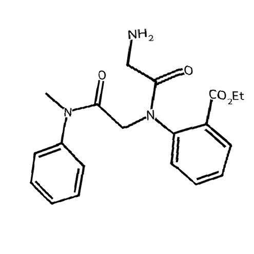 CCOC(=O)c1ccccc1N(CC(=O)N(C)c1ccccc1)C(=O)CN